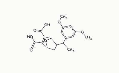 COc1cc(OC)cc(C(C)C2CC3OC2C(C(=O)O)=C3C(=O)O)c1